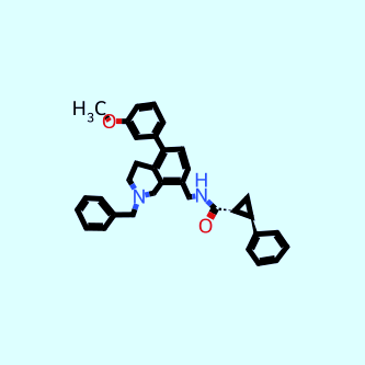 COc1cccc(-c2ccc(CNC(=O)[C@@H]3C[C@H]3c3ccccc3)c3c2CCN(Cc2ccccc2)C3)c1